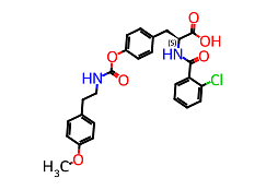 COc1ccc(CCNC(=O)Oc2ccc(C[C@H](NC(=O)c3ccccc3Cl)C(=O)O)cc2)cc1